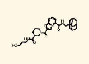 O=C(NCC12CC3CC(CC(C3)C1)C2)c1cccc2nc(C(=O)N3CCCC(C(=O)NCCCO)C3)cn12